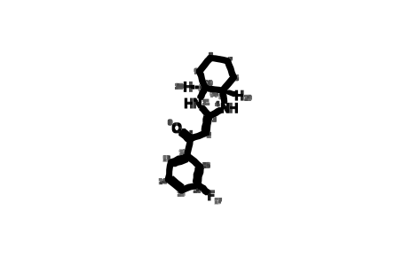 O=C(C=C1N[C@H]2CCCC[C@@H]2N1)c1cccc(F)c1